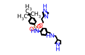 CC(C)(C)c1ccc(S(=O)(=O)Nc2ccc(CNCC3CCNC3)cc2OCCc2c[nH]cn2)cc1